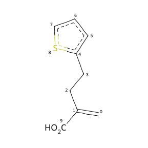 C=C(CCc1cccs1)C(=O)O